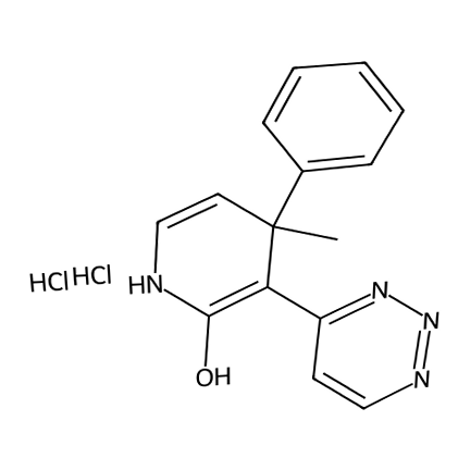 CC1(c2ccccc2)C=CNC(O)=C1c1ccnnn1.Cl.Cl